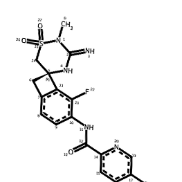 CN1C(=N)N[C@@]2(Cc3ccc(NC(=O)c4ccc(F)cn4)c(F)c32)CS1(=O)=O